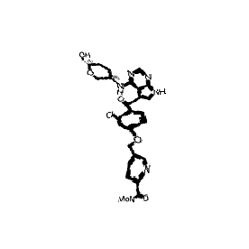 CNC(=O)c1ccc(COc2ccc(C(=O)c3c[nH]c4ncnc(N[C@@H]5CC[C@@H](CO)OC5)c34)c(Cl)c2)cn1